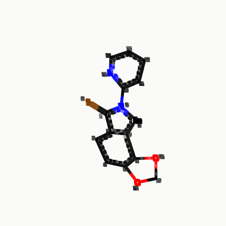 S=c1c2ccc3c(c2[se]n1-c1ccccn1)OCO3